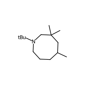 CC1CCCN(C(C)(C)C)CC(C)(C)C1